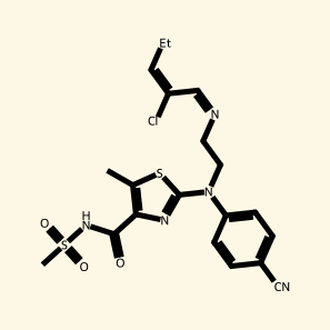 CC/C=C(Cl)\C=N/CCN(c1ccc(C#N)cc1)c1nc(C(=O)NS(C)(=O)=O)c(C)s1